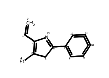 C=CC1=C(CC)CC(C2=CC=C=C=C2)=N1